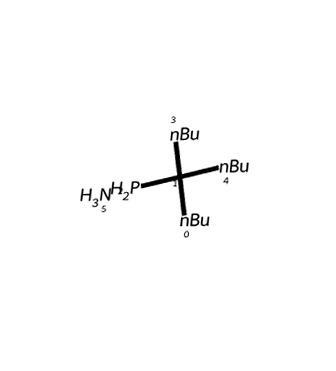 CCCCC(P)(CCCC)CCCC.N